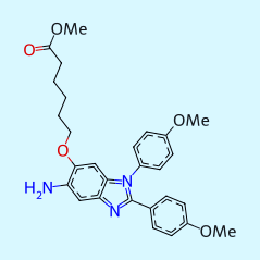 COC(=O)CCCCCOc1cc2c(cc1N)nc(-c1ccc(OC)cc1)n2-c1ccc(OC)cc1